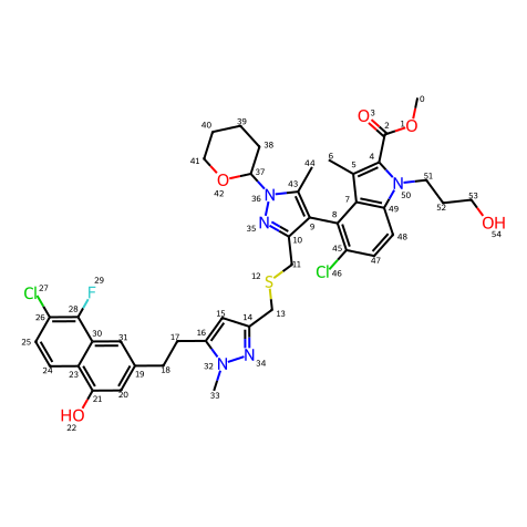 COC(=O)c1c(C)c2c(-c3c(CSCc4cc(CCc5cc(O)c6ccc(Cl)c(F)c6c5)n(C)n4)nn(C4CCCCO4)c3C)c(Cl)ccc2n1CCCO